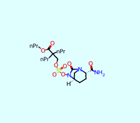 CCCOC(=O)C(CCC)(CCC)COS(=O)(=O)ON1C(=O)N2C[C@H]1CC[C@H]2C(N)=O